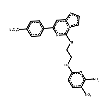 CCOC(=O)c1ccc(-c2cc3nccn3c(NCCNc3ccc([N+](=O)[O-])c(N)n3)n2)cc1